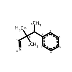 CC(c1ccccc1)C(C)(C)C=S